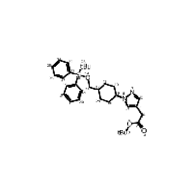 CC(C)(C)OC(=O)Cc1cnn(C2CCC(CO[Si](c3ccccc3)(c3ccccc3)C(C)(C)C)CC2)c1